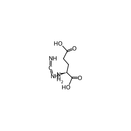 N=C=N.N[C@@H](CCC(=O)O)C(=O)O